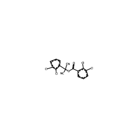 N#CC(C#N)(OC(=O)c1cccc(Cl)c1Cl)c1cccc(Cl)c1Cl